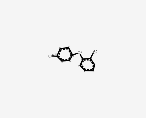 CC(=O)c1ccccc1Oc1ccc(Cl)cc1